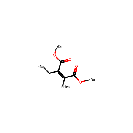 CCCCCC/C(C(=O)OCCCC)=C(\CC(C)(C)C)C(=O)OCCCC